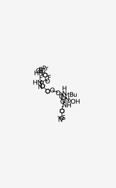 CCCS(=O)(=O)Nc1ccc(F)c(C(=O)c2c[nH]c3ncc(-c4cccc(OCCOCC(=O)N[C@H](C(=O)N5C[C@H](O)C[C@H]5C(=O)NCc5ccc(-c6scnc6C)cc5)C(C)(C)C)c4)cc23)c1F